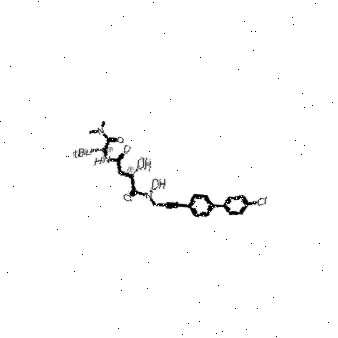 CN(C)C(=O)[C@@H](NC(=O)C[C@H](O)C(=O)N(O)CC#Cc1ccc(-c2ccc(Cl)cc2)cc1)C(C)(C)C